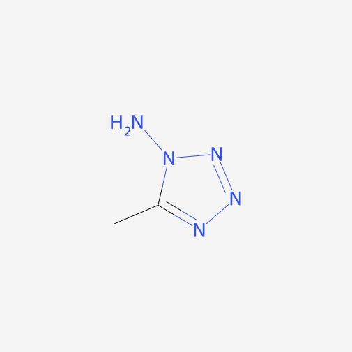 Cc1nnnn1N